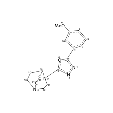 COc1cccc(-c2nnc(N3CCN4CCC3CC4)o2)c1